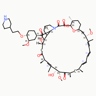 CO[C@H]1C[C@@H]2CC[C@@H](C)[C@@](O)(O2)C(=O)C(=O)N2CCCC3[C@H]2C(=O)O[C@@H](CC(=O)[C@H](C)/C=C(\C)[C@@H](O)[C@@H](OC)C(=O)[C@H](C)C[C@H](C)/C=C/C=C/C=C/1C)[C@H]3C[C@@H]1CC[C@@H](OCCC2CCNCC2)[C@H](OC)C1